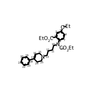 CCOC(=O)c1cc(OCC)ccc1N(CCCCN1CC=C(c2ccccc2)CC1)C(=O)OCC